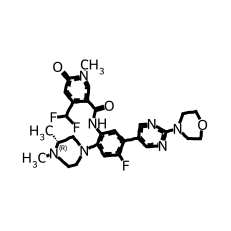 C[C@@H]1CN(c2cc(F)c(-c3cnc(N4CCOCC4)nc3)cc2NC(=O)c2cn(C)c(=O)cc2C(F)F)CCN1C